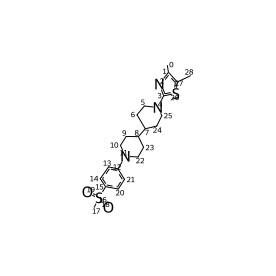 Cc1nc(N2CCC(C3CCN(c4ccc(S(C)(=O)=O)cc4)CC3)CC2)sc1C